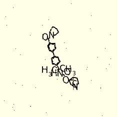 CC(C)(NC(=O)OC1CN2CCC1CC2)c1ccc(-c2ccc(C(=O)N3CCCCC3)cc2)cc1